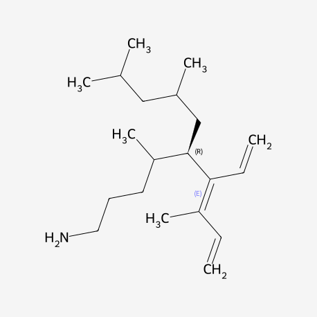 C=C/C(C)=C(\C=C)[C@H](CC(C)CC(C)C)C(C)CCCN